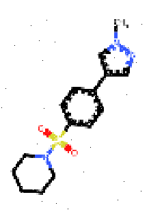 Cn1cc(-c2ccc(S(=O)(=O)N3CCCCC3)cc2)cn1